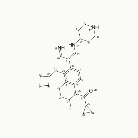 CC1CCc2c(ccc(/C(C=N)=C/NC3CCNCC3)c2CC2CCC2)N1C(=O)C1CC1